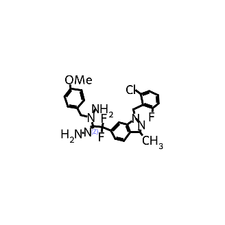 COc1ccc(CN(N)/C(=N\N)C(F)(F)c2ccc3c(C)nn(Cc4c(F)cccc4Cl)c3c2)cc1